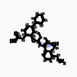 CC/C(=C\C(=C(/C)O)c1cccc(CN)c1F)Oc1cc(-c2ccccc2)ccc1CC(=O)O